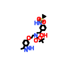 Cc1n[nH]c2cc(OCCN(CC(O)c3cccc(NS(=O)(=O)C4CC4)c3)C(=O)OC(C)(C)C)ccc12